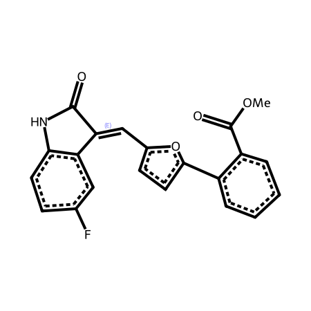 COC(=O)c1ccccc1-c1ccc(/C=C2/C(=O)Nc3ccc(F)cc32)o1